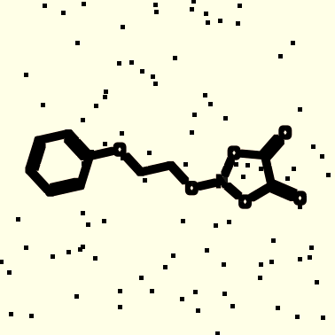 O=c1on(OCCOc2ccccc2)oc1=O